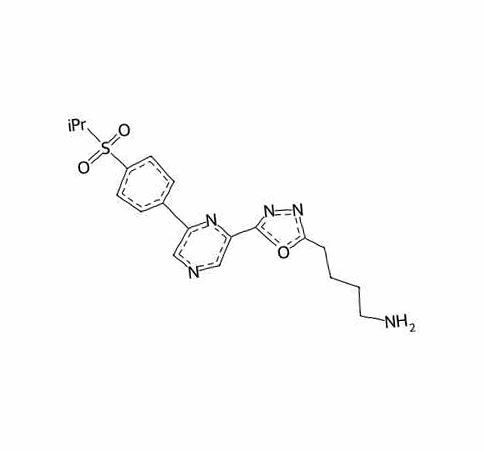 CC(C)S(=O)(=O)c1ccc(-c2cncc(-c3nnc(CCCCN)o3)n2)cc1